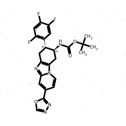 CC(C)(C)OC(=O)N[C@H]1Cc2c(nc3cc(-c4nnco4)ccn23)C[C@@H]1c1cc(F)c(F)cc1F